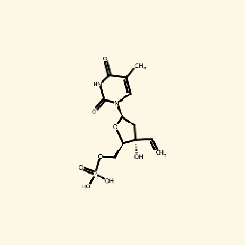 C=C[C@]1(O)C[C@H](n2cc(C)c(=O)[nH]c2=O)O[C@@H]1COP(=O)(O)O